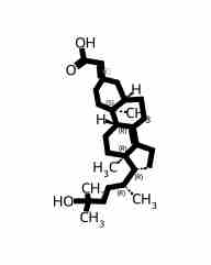 C[C@H](CCC(C)(C)O)[C@H]1CCC2=C3CC[C@@H]4C/C(=C/C(=O)O)CC[C@]4(C)[C@H]3CC[C@@]21C